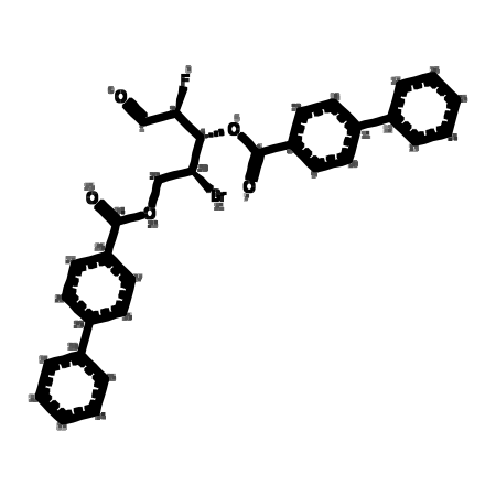 O=C[C@@H](F)[C@H](OC(=O)c1ccc(-c2ccccc2)cc1)[C@@H](Br)COC(=O)c1ccc(-c2ccccc2)cc1